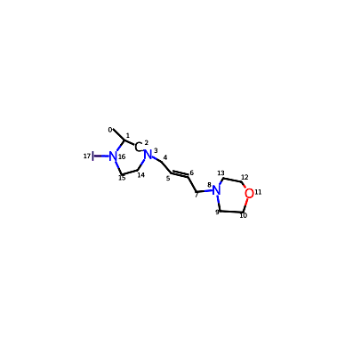 CC1CN(C/C=C/CN2CCOCC2)CCN1I